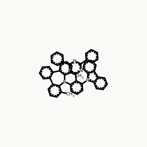 Cc1cccc2c1B(c1cccc(-n3c4ccccc4c4ccccc43)c1-c1nc(-c3ccccc3)nc(-c3ccccc3)n1)c1c(C)cccc1-c1ccccc1-2